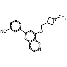 CN1CC(COc2cc(-c3cccc(C#N)c3)cc3ccncc23)C1